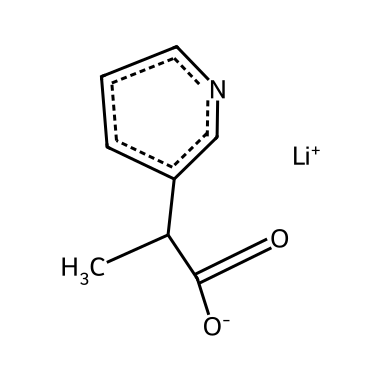 CC(C(=O)[O-])c1cccnc1.[Li+]